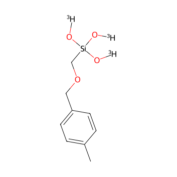 [3H]O[Si](COCc1ccc(C)cc1)(O[3H])O[3H]